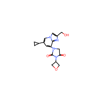 O=C1CN(c2cc(C3CC3)cn3cc(CO)nc23)C(=O)N1C1COC1